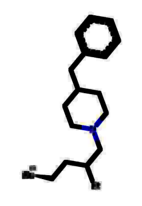 CCC(CC[C@H](C)CC)CN1CCC(Cc2ccccc2)CC1